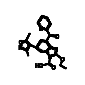 CCOc1nc2c(C(=O)c3ccccn3)cc(-c3c(C)noc3C)cc2n1C(=O)O